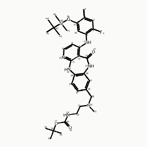 Cc1cc(F)c(Nc2ccnc3c2C(=O)Nc2cc(CN(C)CCNC(=O)OC(C)(C)C)ccc2N3)cc1O[Si](C)(C)C(C)(C)C